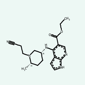 CCOC(=O)c1cnc2[nH]ccc2c1N[C@@H]1CC[C@H](C)N(CCC#N)C1